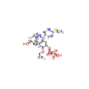 CCOc1cc2c(cc1OC)C(c1cnc(SC)nc1)=N[C@@H]1CC[C@@H](O)C[C@H]21.O=S(=O)(O)O